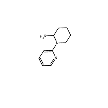 NC1CCCCN1c1ccccn1